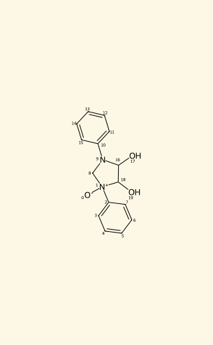 [O-][N+]1(c2ccccc2)CN(c2ccccc2)C(O)C1O